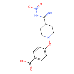 N=C(N[N+](=O)[O-])C1CCN(Oc2ccc(C(=O)O)cc2)CC1